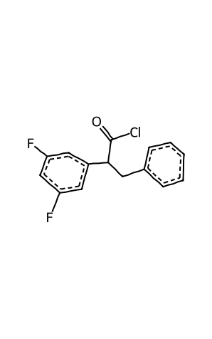 O=C(Cl)C(Cc1ccccc1)c1cc(F)cc(F)c1